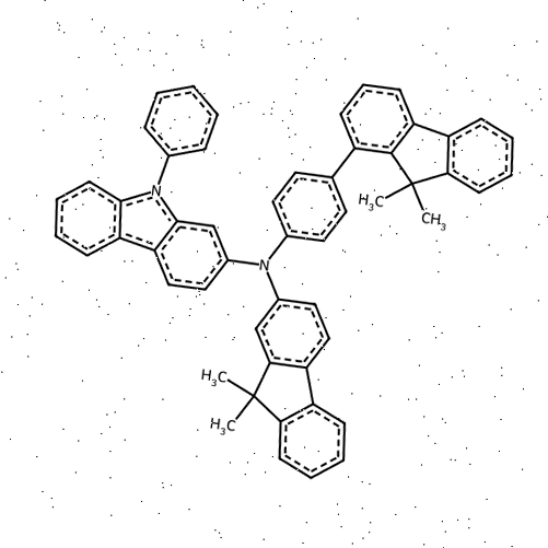 CC1(C)c2ccccc2-c2ccc(N(c3ccc(-c4cccc5c4C(C)(C)c4ccccc4-5)cc3)c3ccc4c5ccccc5n(-c5ccccc5)c4c3)cc21